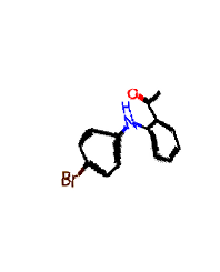 CC(=O)c1ccccc1Nc1ccc(Br)cc1